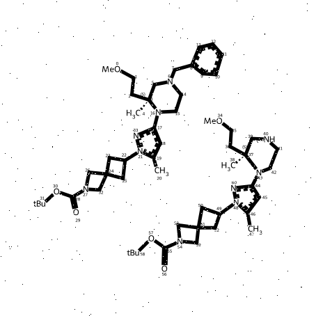 COCC[C@@]1(C)CN(Cc2ccccc2)CCN1c1cc(C)n(C2CC3(C2)CN(C(=O)OC(C)(C)C)C3)n1.COCC[C@@]1(C)CNCCN1c1cc(C)n(C2CC3(C2)CN(C(=O)OC(C)(C)C)C3)n1